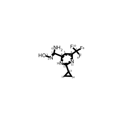 NC(=NO)c1cc(C(F)(F)F)nc(C2CC2)n1